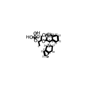 CCCCO.O=C(O)[C@H](c1ccccc1Cl)N1CCc2sccc2C1.O=S(=O)(O)O